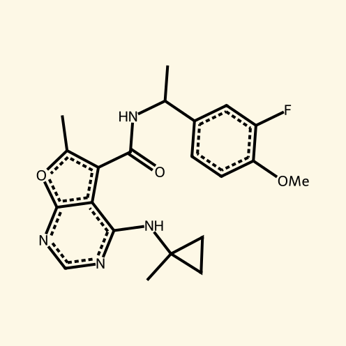 COc1ccc(C(C)NC(=O)c2c(C)oc3ncnc(NC4(C)CC4)c23)cc1F